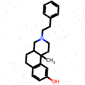 CC12CCN(CCc3ccccc3)CC1CCc1ccc(O)cc12